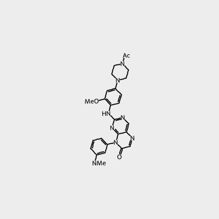 CNc1cccc(-n2c(=O)cnc3cnc(Nc4ccc(N5CCN(C(C)=O)CC5)cc4OC)nc32)c1